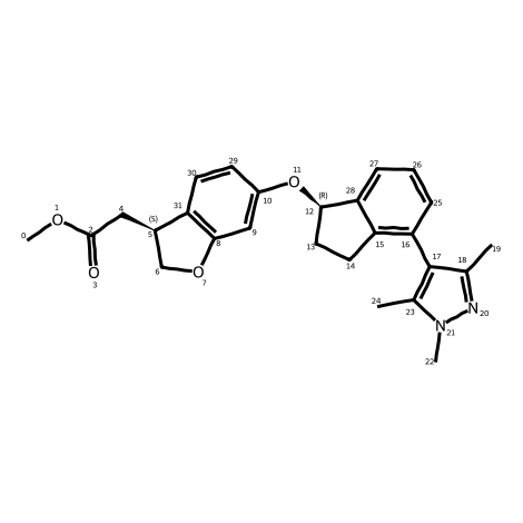 COC(=O)C[C@@H]1COc2cc(O[C@@H]3CCc4c(-c5c(C)nn(C)c5C)cccc43)ccc21